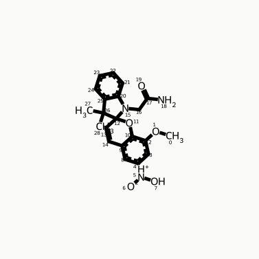 COc1cc([NH+]([O-])O)cc2c1OC1(C=C2)N(CC(N)=O)c2ccccc2C1(C)C